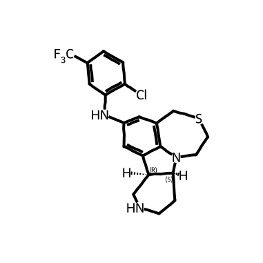 FC(F)(F)c1ccc(Cl)c(Nc2cc3c4c(c2)[C@@H]2CNCC[C@@H]2N4CCSC3)c1